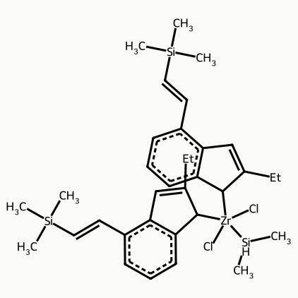 CCC1=Cc2c(C=C[Si](C)(C)C)cccc2[CH]1[Zr]([Cl])([Cl])([CH]1C(CC)=Cc2c(C=C[Si](C)(C)C)cccc21)[SiH](C)C